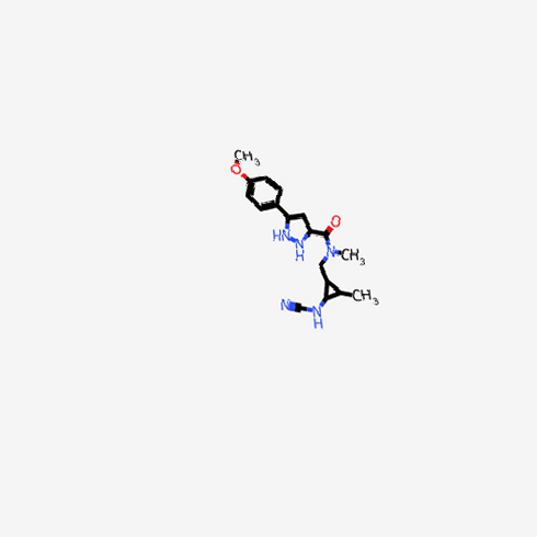 COc1ccc(C2CC(C(=O)N(C)CC3C(C)C3NC#N)NN2)cc1